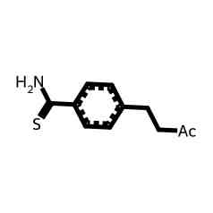 CC(=O)CCc1ccc(C(N)=S)cc1